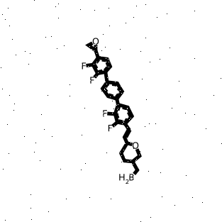 BCC1CCC(/C=C/c2ccc(-c3ccc(-c4ccc(C5CO5)c(F)c4F)cc3)c(F)c2F)OC1